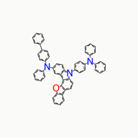 c1ccc(-c2ccc(N(c3ccccc3)c3ccc4c(c3)c3c5oc6ccccc6c5ccc3n4-c3ccc(N(c4ccccc4)c4ccccc4)cc3)cc2)cc1